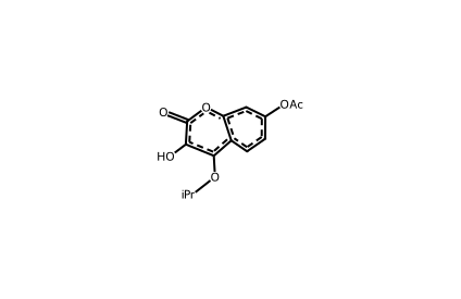 CC(=O)Oc1ccc2c(OC(C)C)c(O)c(=O)oc2c1